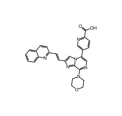 O=C(O)c1ccc(-c2cnc(N3CCOCC3)c3nc(C=Cc4ccc5ccccc5n4)cn23)cn1